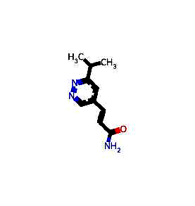 CC(C)c1cc(/C=C/C(N)=O)cnn1